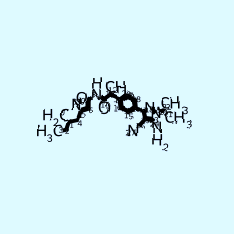 C=C(CC)Cc1cc(NC(=O)C(C)c2ccc(-c3nn(C(C)C)c(N)c3C#N)cc2)on1